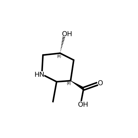 CC1NC[C@H](O)C[C@H]1C(=O)O